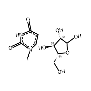 O=c1ccn(I)c(=O)[nH]1.OC[C@H]1OC(O)[C@@H](O)[C@@H]1O